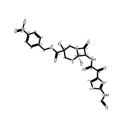 O=CNc1nc(C(=O)C(=O)NC2C(=O)N3CC(Cl)(C(=O)OCc4ccc([N+](=O)[O-])cc4)CS[C@H]23)cs1